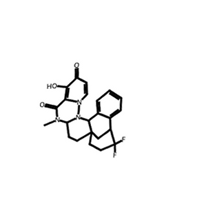 CN1C(=O)c2c(O)c(=O)ccn2N2C1CCC13CCC(F)(F)C(C1)c1ccccc1C23